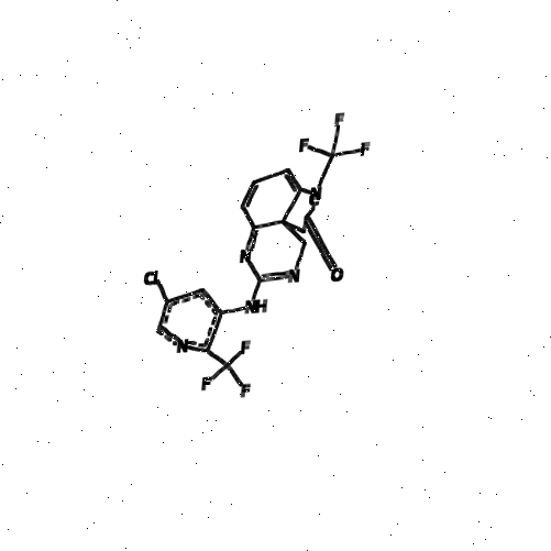 O=C1CCN(C(F)(F)F)C2=CC=CC3=NC(Nc4cc(Cl)cnc4C(F)(F)F)=NCC23C1